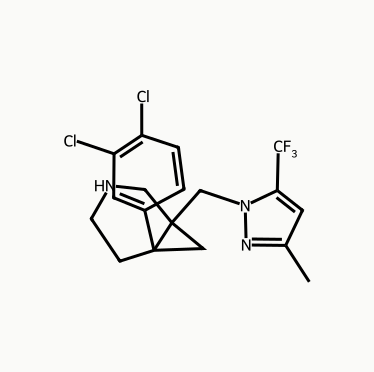 Cc1cc(C(F)(F)F)n(CC23CNCCC2(c2ccc(Cl)c(Cl)c2)C3)n1